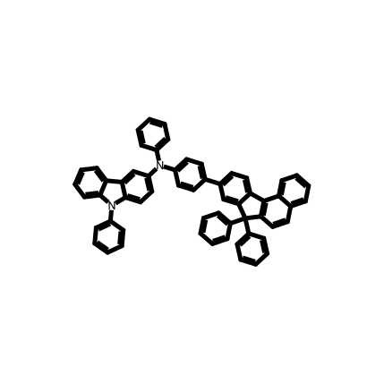 c1ccc(N(c2ccc(-c3ccc4c(c3)C(c3ccccc3)(c3ccccc3)c3ccc5ccccc5c3-4)cc2)c2ccc3c(c2)c2ccccc2n3-c2ccccc2)cc1